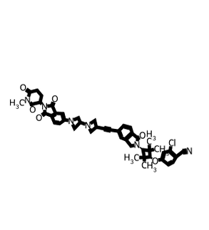 CN1C(=O)CCC(N2C(=O)c3ccc(N4CC(N5CC(C#Cc6ccc7c(c6)CN([C@H]6C(C)(C)[C@H](Oc8ccc(C#N)c(Cl)c8)C6(C)C)C7=O)C5)C4)cc3C2=O)C1=O